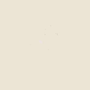 CCOC(=O)/C(O)=C/c1cccnc1